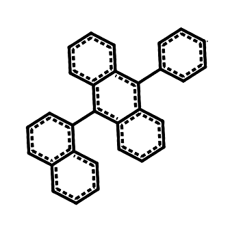 [c]1ccc(-c2c3ccccc3c(-c3cccc4ccccc34)c3ccccc23)cc1